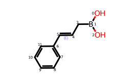 OB(O)C/C=C/c1ccccc1